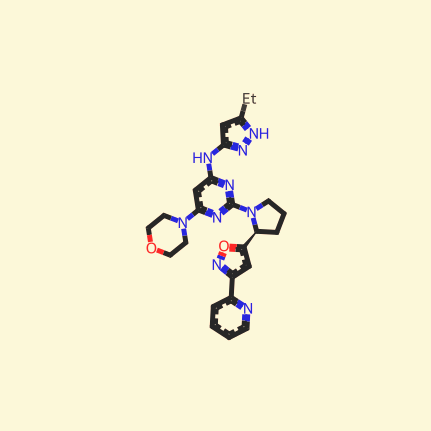 CCc1cc(Nc2cc(N3CCOCC3)nc(N3CCC[C@H]3c3cc(-c4ccccn4)no3)n2)n[nH]1